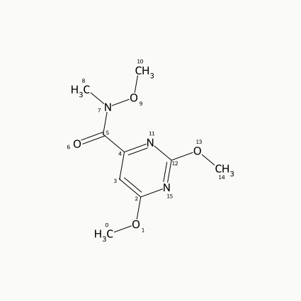 COc1cc(C(=O)N(C)OC)nc(OC)n1